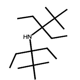 CCC(CC)(NC(CC)(CC)C(C)(C)C)C(C)(C)C